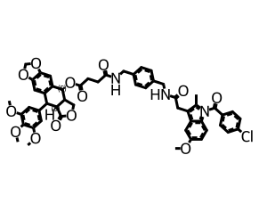 COc1ccc2c(c1)c(CC(=O)NCc1ccc(CNC(=O)CCC(=O)O[C@@H]3c4cc5c(cc4C(c4cc(OC)c(OC)c(OC)c4)[C@@H]4C(=O)OCC43)OCO5)cc1)c(C)n2C(=O)c1ccc(Cl)cc1